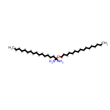 CCCCCCCCCCCCCCCCOC(N)(N)CCCCCCCCCCCCCCC